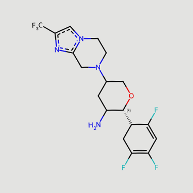 NC1CC(N2CCn3cc(C(F)(F)F)nc3C2)CO[C@@H]1C1CC(F)=C(F)C=C1F